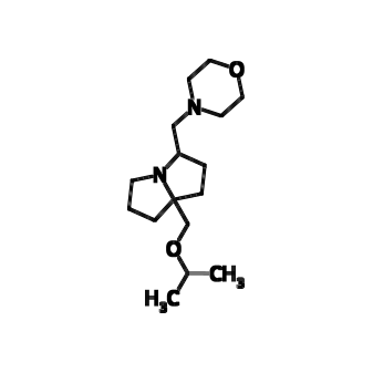 CC(C)OCC12CCCN1C(CN1CCOCC1)CC2